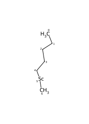 CCCC[CH2][Sc][CH3]